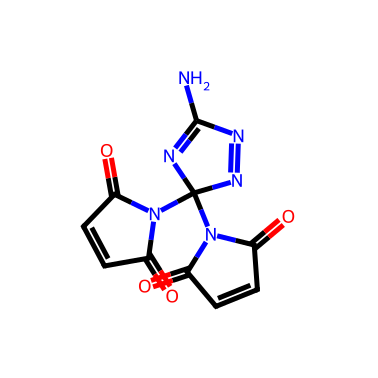 NC1=NC(N2C(=O)C=CC2=O)(N2C(=O)C=CC2=O)N=N1